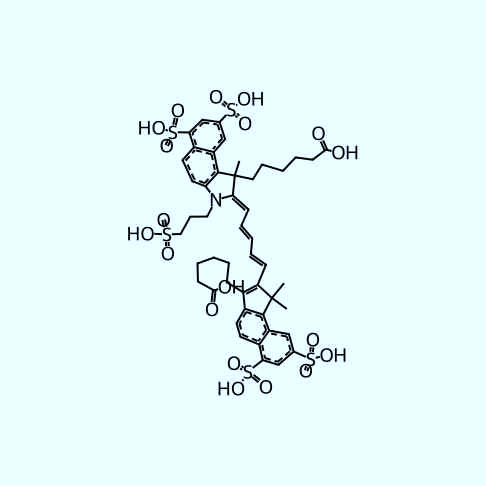 CC1(C)C(/C=C/C=C/C=C2\N(CCCS(=O)(=O)O)c3ccc4c(S(=O)(=O)O)cc(S(=O)(=O)O)cc4c3C2(C)CCCCCC(=O)O)=C(CCCCCC(=O)O)c2ccc3c(S(=O)(=O)O)cc(S(=O)(=O)O)cc3c21